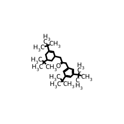 CC(C)(C)C1=CC(CC(=O)Cc2cc(C(C)(C)C)cc(C(C)(C)C)c2)CC(C(C)(C)C)C1